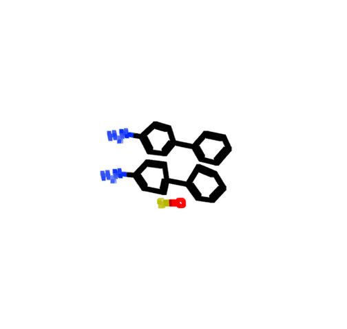 Nc1ccc(-c2ccccc2)cc1.Nc1ccc(-c2ccccc2)cc1.O=S